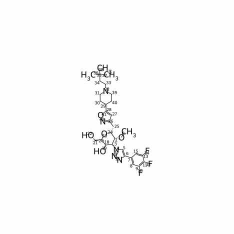 CO[C@@H]1[C@@H](n2cc(-c3cc(F)c(F)c(F)c3)nn2)[C@@H](O)[C@@H](CO)O[C@@H]1Cc1cc(C2CCN(CCC(C)(C)C)CC2)on1